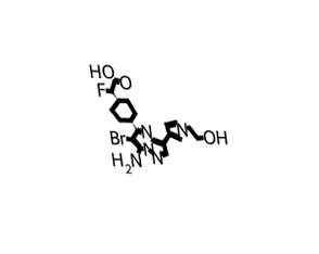 Nc1c(Br)c([C@H]2CC[C@@H](C(F)C(=O)O)CC2)nc2c(-c3ccn(CCO)c3)cnn12